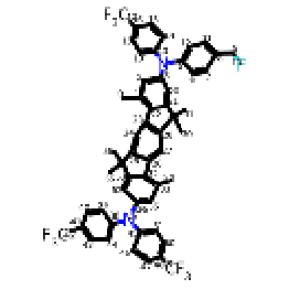 Cc1cc(N(c2ccc(CF)cc2)c2ccc(C(F)(F)F)cc2)cc2c1-c1cc3c(cc1C2(C)C)-c1c(C)cc(N(c2ccc(C(F)(F)F)cc2)c2ccc(C(F)(F)F)cc2)cc1C3(C)C